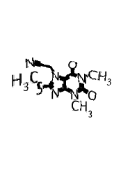 CSc1nc2c(c(=O)n(C)c(=O)n2C)n1CC#N